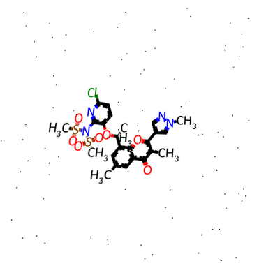 Cc1cc([C@@H](C)Oc2ccc(Cl)nc2N(S(C)(=O)=O)S(C)(=O)=O)c2oc(-c3cnn(C)c3)c(C)c(=O)c2c1